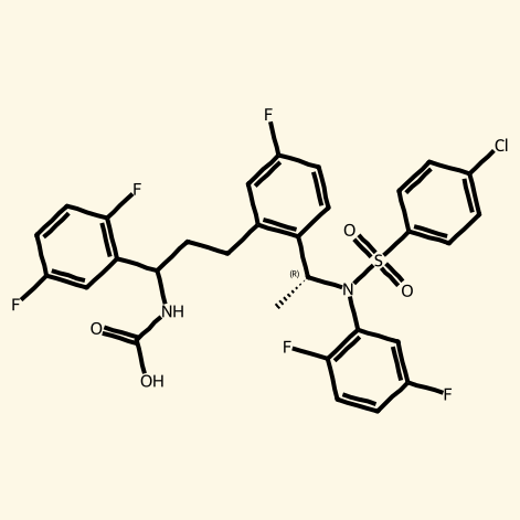 C[C@H](c1ccc(F)cc1CCC(NC(=O)O)c1cc(F)ccc1F)N(c1cc(F)ccc1F)S(=O)(=O)c1ccc(Cl)cc1